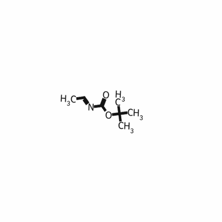 CC=NC(=O)OC(C)(C)C